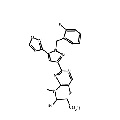 CC(C)C(CC(=O)O)N(C)c1nc(-c2cc(-c3ccon3)n(Cc3ccccc3F)n2)ncc1F